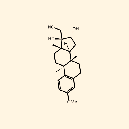 COc1ccc2c(c1)CC[C@H]1[C@@H]3C[C@@H](O)[C@@](O)(CC#N)[C@@]3(C)CC[C@]21C